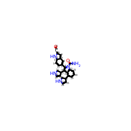 NC(=O)n1c(C2=CC3=CC(=C=O)NC3C=C2)c(C2C=CNC2)c2c(C3C=CNC3)cccc21